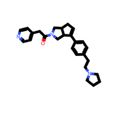 O=C(Cc1ccncc1)N1CC2CC=C(c3ccc(CCN4CCCC4)cc3)C2C1